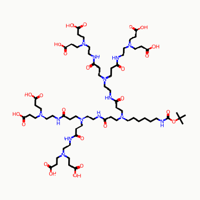 CC(C)(C)OC(=O)NCCCCCCN(CCC(=O)NCCN(CCC(=O)NCCN(CCC(=O)O)CCC(=O)O)CCC(=O)NCCN(CCC(=O)O)CCC(=O)O)CCC(=O)NCCN(CCC(=O)NCCN(CCC(=O)O)CCC(=O)O)CCC(=O)NCCN(CCC(=O)O)CCC(=O)O